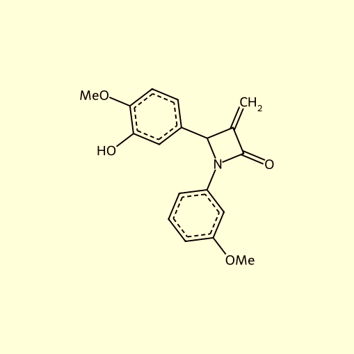 C=C1C(=O)N(c2cccc(OC)c2)C1c1ccc(OC)c(O)c1